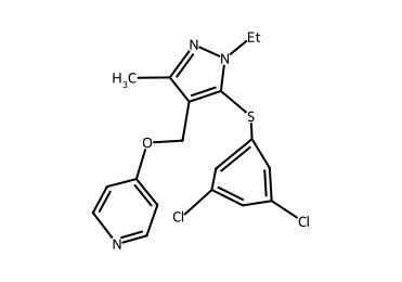 CCn1nc(C)c(COc2ccncc2)c1Sc1cc(Cl)cc(Cl)c1